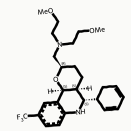 COCCN(CCOC)C[C@H]1CC[C@@H]2[C@H](O1)c1cc(C(F)(F)F)ccc1N[C@H]2C1C=CC=CC1